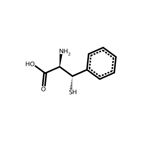 N[C@H](C(=O)O)[C@@H](S)c1ccccc1